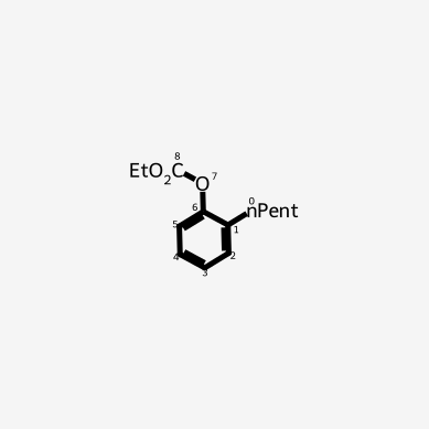 CCCCCc1ccccc1OC(=O)OCC